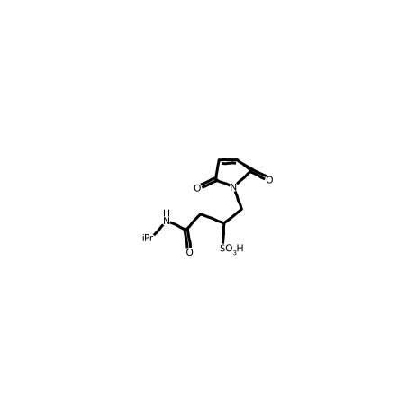 CC(C)NC(=O)CC(CN1C(=O)C=CC1=O)S(=O)(=O)O